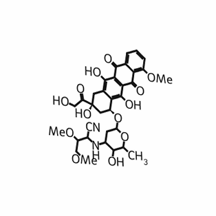 COCC(OC)C(C#N)NC1CC(O[C@H]2C[C@](O)(C(=O)CO)Cc3c(O)c4c(c(O)c32)C(=O)c2c(OC)cccc2C4=O)OC(C)C1O